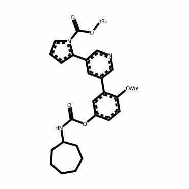 COc1ccc(OC(=O)NC2CCCCCC2)cc1-c1cncc(-c2cccn2C(=O)OC(C)(C)C)c1